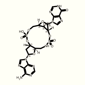 CO[C@H]1[C@H]2OS(=O)(=O)NC[C@H]3O[C@@H](n4cnc5c(N)ncnc54)C[C@@H]3OP(=O)(O)OC[C@H]1O[C@H]2n1cnc2c(=O)[nH]cnc21